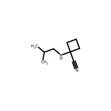 CC(C)CNC1(C#N)CCC1